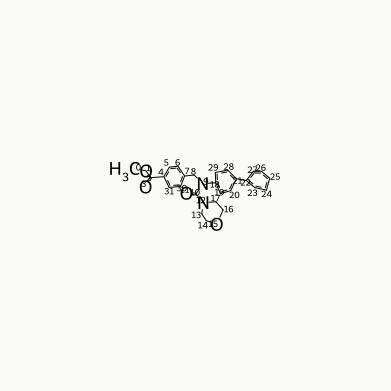 COC(=O)c1ccc(CN(C(=O)N2CCOCC2)c2ccc(-c3ccccc3)cc2)cc1